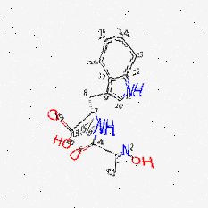 CC(=NO)C(=O)N[C@@H](Cc1c[nH]c2ccccc12)C(=O)O